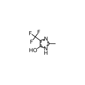 Cc1nc(C(F)(F)F)c(O)[nH]1